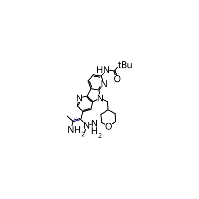 C/C(N)=C(\c1cnc2c3ccc(NC(=O)C(C)(C)C)nc3n(CC3CCOCC3)c2c1)N(C)N